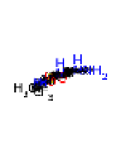 Cc1cnc(N2CCN(S(=O)(=O)c3ccc(NC(=O)c4ccc(CCNCCCN)cc4)cc3)CC2)cc1C(F)(F)F